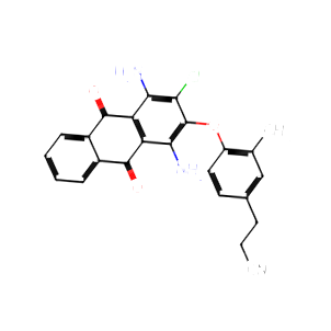 Cc1cc(CCC#N)ccc1Oc1c(N)c2c(c(N)c1Cl)C(=O)c1ccccc1C2=O